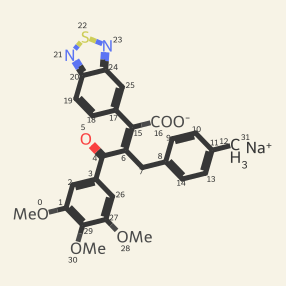 COc1cc(C(=O)/C(Cc2ccc(C)cc2)=C(/C(=O)[O-])c2ccc3nsnc3c2)cc(OC)c1OC.[Na+]